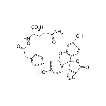 NC(=O)CC[C@H](NOC(=O)Cc1ccccc1)C(=O)O.O=C1OC2(c3ccc(O)cc3Oc3cc(O)ccc32)c2ccccc21